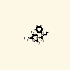 CCN(C(=S)n1cc(F)c(N)nc1=O)c1ccccc1